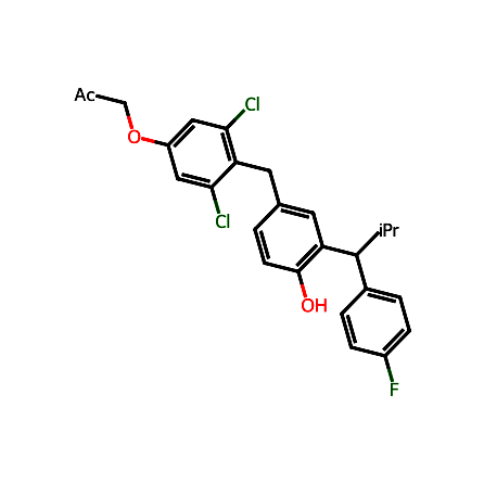 CC(=O)COc1cc(Cl)c(Cc2ccc(O)c(C(c3ccc(F)cc3)C(C)C)c2)c(Cl)c1